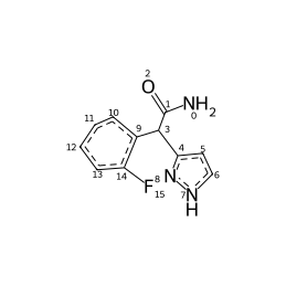 NC(=O)C(c1cc[nH]n1)c1ccccc1F